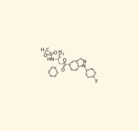 C[C@H](NS(C)(=O)=O)[C@@H](c1ccccc1)S(=O)(=O)c1ccc2c(cnn2-c2ccc(F)cc2)c1